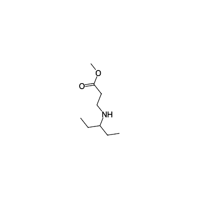 CCC(CC)NCCC(=O)OC